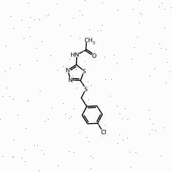 CC(=O)Nc1nnc(SCc2ccc(Cl)cc2)s1